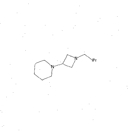 CC(C)CN1CC(N2CCCCC2)C1